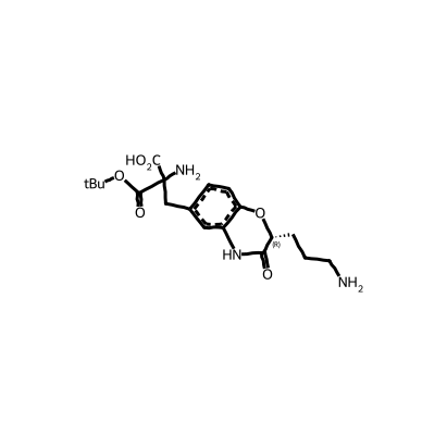 CC(C)(C)OC(=O)C(N)(Cc1ccc2c(c1)NC(=O)[C@@H](CCCN)O2)C(=O)O